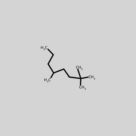 CCCC(C)C[CH]C(C)(C)C